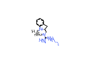 CCCCN(CC1Cc2ccccc2N1C)C(=N)N